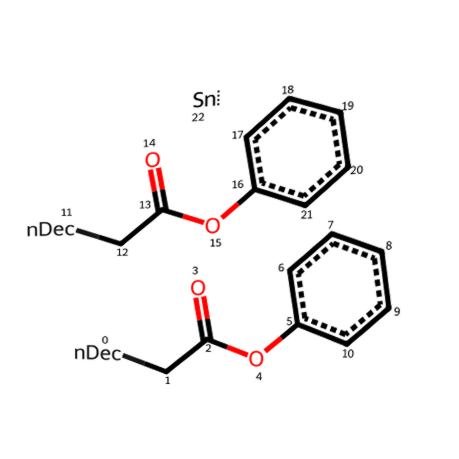 CCCCCCCCCCCC(=O)Oc1ccccc1.CCCCCCCCCCCC(=O)Oc1ccccc1.[Sn]